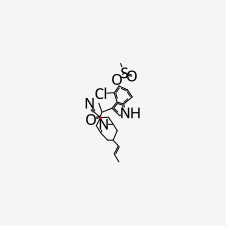 CC=CC1CC2CC(C#N)CC(C1)N2C(=O)C(C)c1c[nH]c2ccc(OS(C)=O)c(Cl)c12